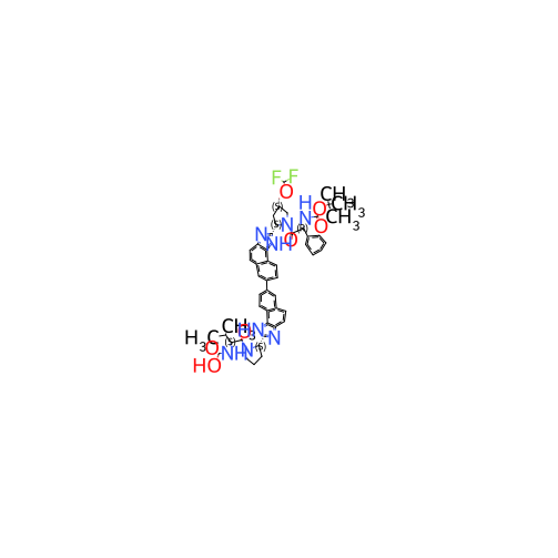 CC(C)[C@H](NC(=O)O)C(=O)N1CCC[C@H]1c1nc2ccc3cc(-c4ccc5c(ccc6nc([C@@H]7C[C@H](COC(F)F)CN7C(=O)[C@H](NC(=O)OC(C)(C)C)c7ccccc7)[nH]c65)c4)ccc3c2[nH]1